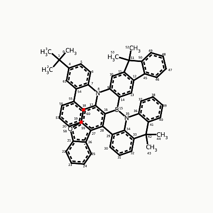 CC(C)(C)c1ccc(N2c3cc4c(cc3B3c5c2cc2oc6ccccc6c2c5-c2cccc5c2N3c2ccccc2C5(C)C)-c2ccccc2C4(C)C)c(-c2ccccc2)c1